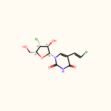 O=c1[nH]c(=O)n([C@@H]2O[C@H](CO)[C@H](Br)[C@H]2O)cc1C=CBr